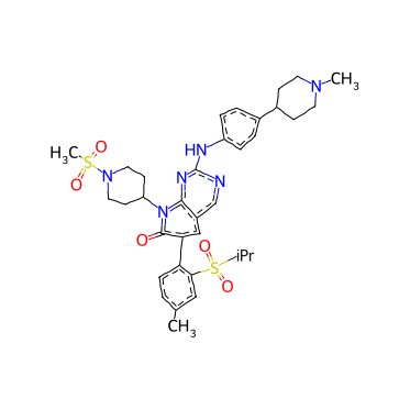 Cc1ccc(-c2cc3cnc(Nc4ccc(C5CCN(C)CC5)cc4)nc3n(C3CCN(S(C)(=O)=O)CC3)c2=O)c(S(=O)(=O)C(C)C)c1